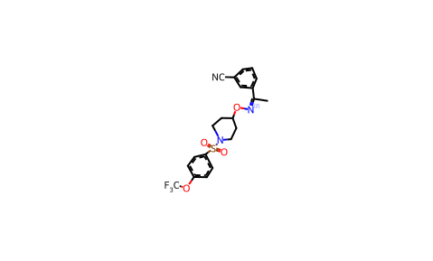 C/C(=N/OC1CCN(S(=O)(=O)c2ccc(OC(F)(F)F)cc2)CC1)c1cccc(C#N)c1